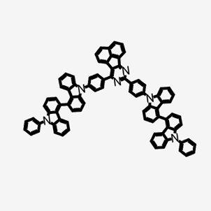 c1ccc(-n2c3ccccc3c3c(-c4cccc5c4c4ccccc4n5-c4ccc(-c5nc(-c6ccc(-n7c8ccccc8c8c(-c9cccc%10c9c9ccccc9n%10-c9ccccc9)cccc87)cc6)c6c(n5)-c5cccc7cccc-6c57)cc4)cccc32)cc1